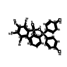 O=S(=O)(OS(c1ccccc1)(c1ccc(Cl)cc1)c1ccc(Cl)cc1)c1c(F)c(F)c(F)c(F)c1F